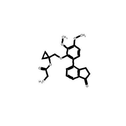 CCC(=O)OC1(COc2c(-c3cccc4c3CCC4=O)ccc(OC)c2OC)CC1